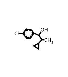 CC(C1CC1)C(O)c1ccc(Cl)cc1